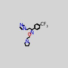 FC(F)(F)c1ccc(C(CCn2ccnc2)=NOCCN2CCCC2)cc1